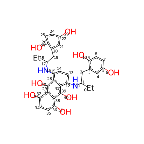 CCC(Cc1cc(O)ccc1O)Nc1ccc(NC(CC)Cc2cc(O)ccc2O)c2c(O)c3c(O)ccc(O)c3c(O)c12